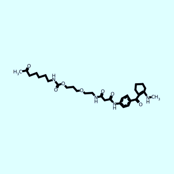 CNC1=C(C(=O)c2ccc(NC(=O)CC(=O)NCCOCCCOC(=O)NCCCCCC(C)=O)cc2)CCCC1